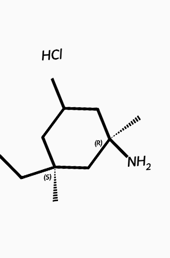 CC[C@@]1(C)CC(C)C[C@@](C)(N)C1.Cl